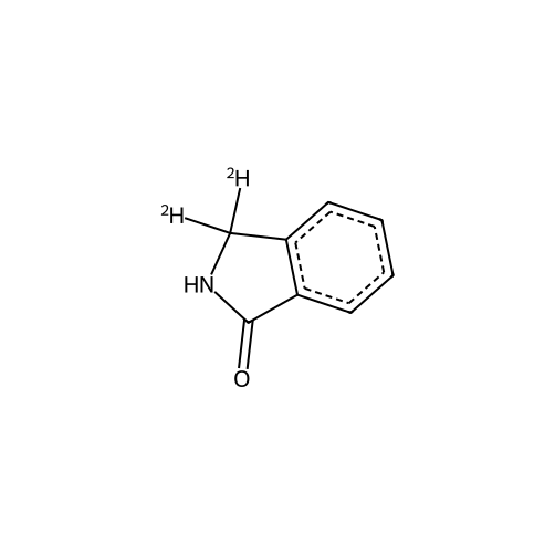 [2H]C1([2H])NC(=O)c2ccccc21